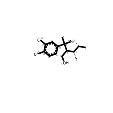 CC[C@H](C)C(CO)C(C)(N)c1ccc(Br)c(Cl)c1